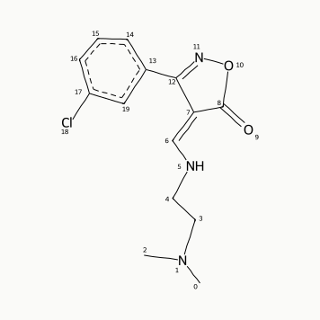 CN(C)CCNC=C1C(=O)ON=C1c1cccc(Cl)c1